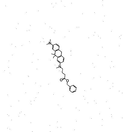 CN(C)c1ccc2c(c1)S(C)(C)c1cc(N(C)CCCC(=O)OCc3ccccc3)ccc1C2